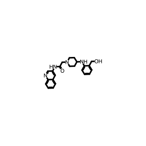 O=C(CN1CCC(Nc2ccccc2CO)CC1)Nc1cnc2ccccc2c1